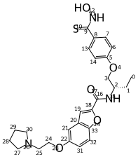 CC[C@@H](COc1ccc(C(=S)NO)cc1)NC(=O)c1cc2cc(OCCN3CCCC3)ccc2o1